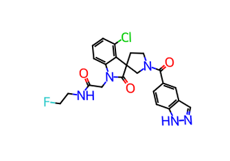 O=C(CN1C(=O)C2(CCN(C(=O)c3ccc4[nH]ncc4c3)C2)c2c(Cl)cccc21)NCCF